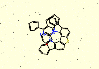 c1ccc(C2=c3ccccc3=NC(n3c4ccccc4c4ccc5sc6ccc7c8ccccc8n(-c8ccccc8)c7c6c5c43)N2)cc1